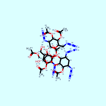 CC(=O)OC[C@H]1OC(OC2C(OC(C)=O)C(N=[N+]=[N-])CC(N=[N+]=[N-])C2OC2OC(CO)[C@@H](O)C(OC(C)=O)C2N=[N+]=[N-])C(OC(C)=O)C1O[C@H]1OC(CN=[N+]=[N-])C(OC(C)=O)C(OC(C)=O)C1N=[N+]=[N-]